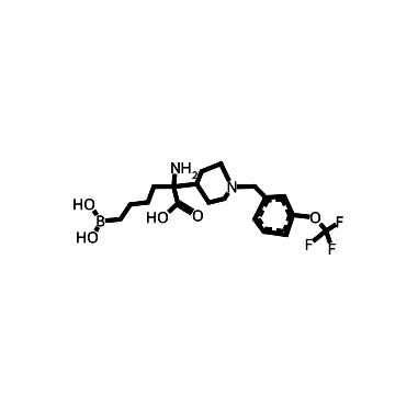 NC(CCCCB(O)O)(C(=O)O)C1CCN(Cc2cccc(OC(F)(F)F)c2)CC1